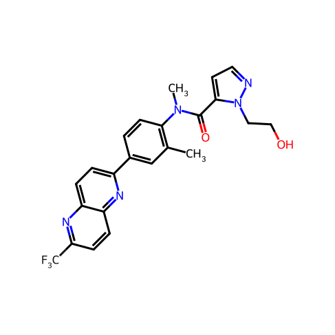 Cc1cc(-c2ccc3nc(C(F)(F)F)ccc3n2)ccc1N(C)C(=O)c1ccnn1CCO